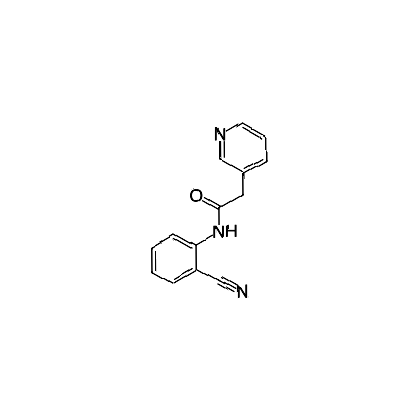 N#Cc1ccccc1NC(=O)Cc1cccnc1